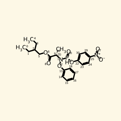 CCC(CC)COC(=O)[C@H](C)N(Oc1ccccc1)[PH](=O)Oc1ccc([N+](=O)[O-])cc1